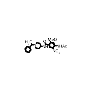 COc1cc(NC(C)=O)c([N+](=O)[O-])cc1C(=O)NC1CCN(C(C)c2ccccc2)CC1